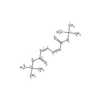 CC(C)(C)OC(=O)/C=C\C=C/C(=O)OC(C)(C)C